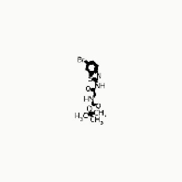 CC(C)(C)OC(=O)NCC(=O)Nc1nc2ccc(Br)cc2s1